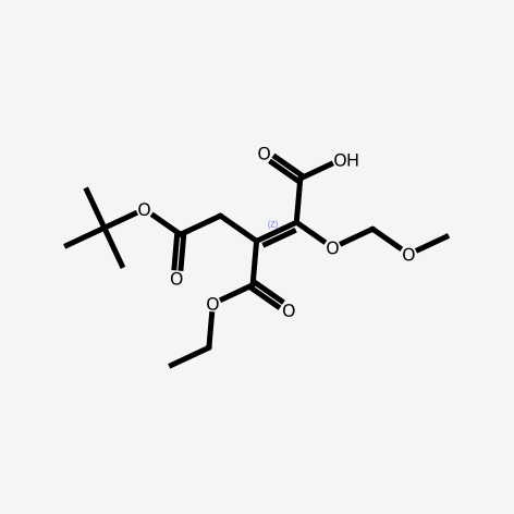 CCOC(=O)/C(CC(=O)OC(C)(C)C)=C(\OCOC)C(=O)O